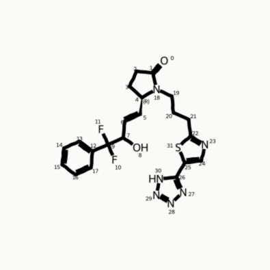 O=C1CC[C@H](C=CC(O)C(F)(F)c2ccccc2)N1CCCc1ncc(-c2nnn[nH]2)s1